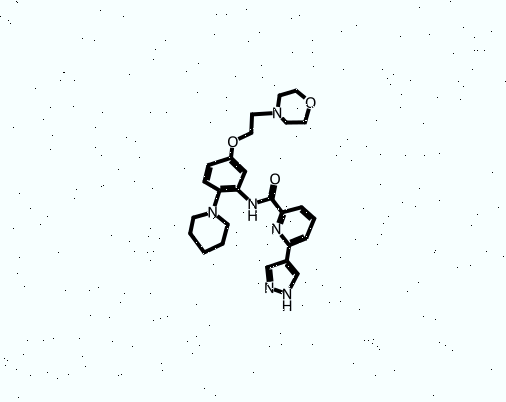 O=C(Nc1cc(OCCN2CCOCC2)ccc1N1CCCCC1)c1cccc(-c2cn[nH]c2)n1